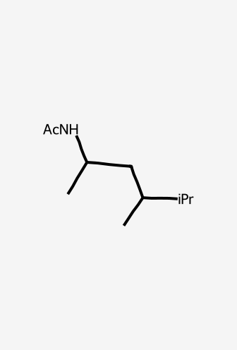 CC(=O)NC(C)CC(C)C(C)C